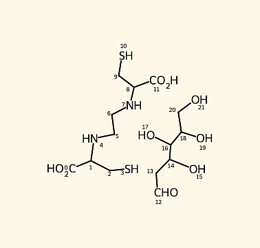 O=C(O)C(CS)NCCNC(CS)C(=O)O.O=CCC(O)C(O)C(O)CO